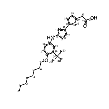 CCCCCCCCOc1ccc(Nc2nc(-c3ccc(CC(=O)O)s3)cs2)cc1C(F)(F)F